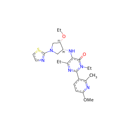 CCO[C@H]1CN(c2nccs2)C[C@H]1Nc1c(CC)nc(-c2ccc(OC)nc2C)n(CC)c1=O